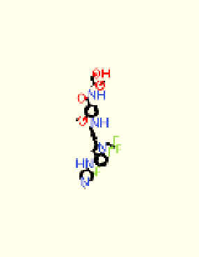 COc1cc(C(=O)NC[C@H](CO)OC)ccc1NCC#Cc1cc2c(N[C@@H]3CCN(C)C[C@@H]3F)cccc2n1CC(F)(F)F